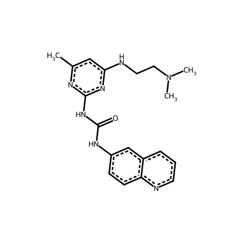 Cc1cc(NCCN(C)C)nc(NC(=O)Nc2ccc3ncccc3c2)n1